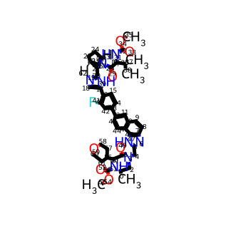 CCCN(Cc1nc2ccc3cc(-c4ccc(-c5cnc(C6[C@H]7CC[C@H](C7)N6C(=O)[C@@H](NC(=O)OC)C(C)C)[nH]5)c(F)c4)ccc3c2[nH]1)C(=O)[C@@H](NC(=O)OC)C1CCOCC1